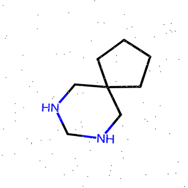 C1CCC2(C1)CNCNC2